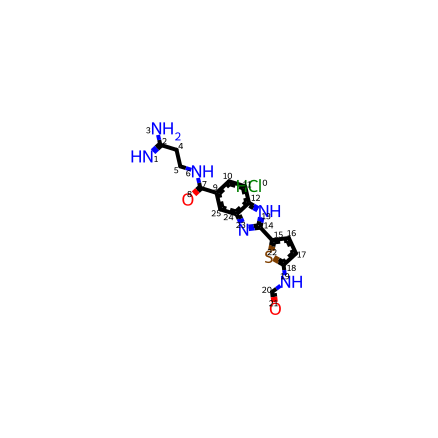 Cl.N=C(N)CCNC(=O)c1ccc2[nH]c(-c3ccc(NC=O)s3)nc2c1